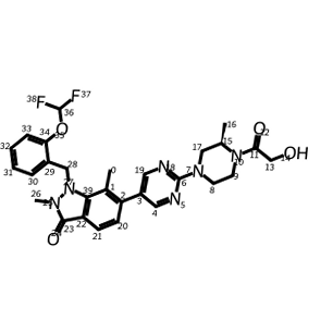 Cc1c(-c2cnc(N3CCN(C(=O)CO)[C@H](C)C3)nc2)ccc2c(=O)n(C)n(Cc3ccccc3OC(F)F)c12